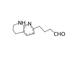 O=CCCCc1ccc2c(n1)NCCC2